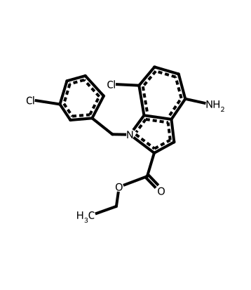 CCOC(=O)c1cc2c(N)ccc(Cl)c2n1Cc1cccc(Cl)c1